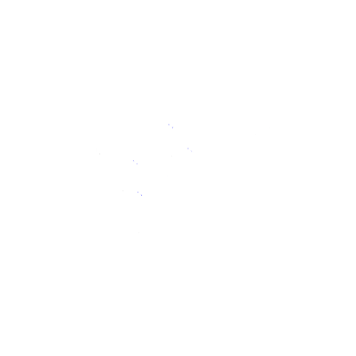 CCn1c(N[C@@H](CO)C(C)C)nc2c(ncn2Cc2ccc(F)cc2F)c1=O